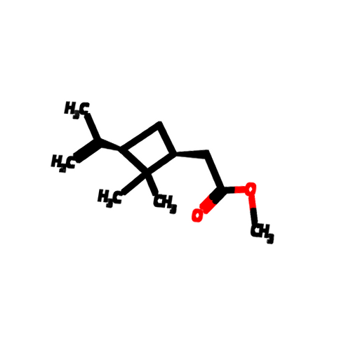 C=C(C)[C@H]1C[C@@H](CC(=O)OC)C1(C)C